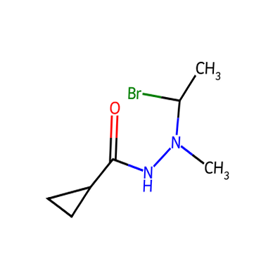 CC(Br)N(C)NC(=O)C1CC1